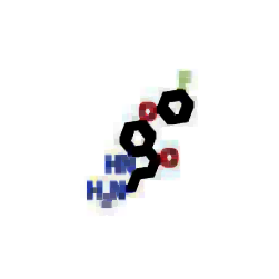 NCc1cc(=O)c2cc(Oc3cccc(F)c3)ccc2[nH]1